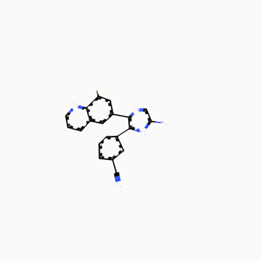 N#Cc1cccc(-c2nc(N)cnc2-c2cc(Cl)c3ncccc3c2)c1